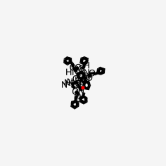 C[C@H]([C@@H]1CC[C@@H](N=[N+]=[N-])[C@@H](O[C@@H]2[C@@H](NC(=O)OCc3ccccc3)[C@H](OCc3ccccc3)[C@@H](NC(=O)OCc3ccccc3)[C@@H]3OC4(CCCCC4)O[C@@H]23)O1)N(Cc1ccccc1)C(=O)OCc1ccccc1